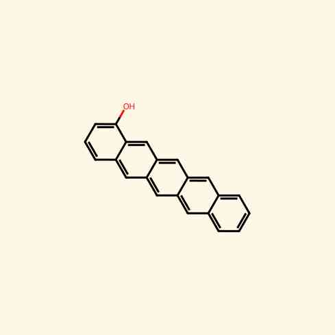 Oc1cccc2cc3cc4cc5ccccc5cc4cc3cc12